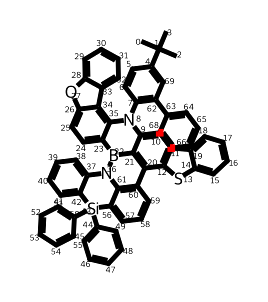 CC(C)(C)c1ccc(N2c3cc4c(sc5ccccc54)c4c3B(c3ccc5oc6ccccc6c5c32)N2c3ccccc3[Si](c3ccccc3)(c3ccccc3)c3cccc-4c32)c(-c2ccccc2)c1